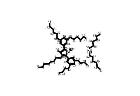 CCCCCCCCC1=C(c2cc(CCCC)cc(CCCC)c2)[N+](=[N-])C(c2cc(CCCCCC)cc(CCCCCC)c2)=C1C.CCCCC[CH2][Ni][CH2]CCCCC